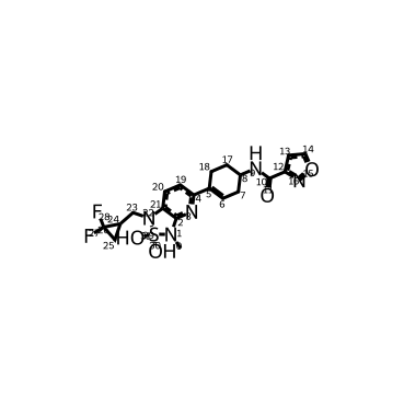 CN1c2nc(C3=CCC(NC(=O)c4ccon4)CC3)ccc2N(CC2CC2(F)F)S1(O)O